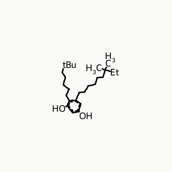 CCC(C)(C)CCCCCCc1cc(O)cc(O)c1CCCCCC(C)(C)C